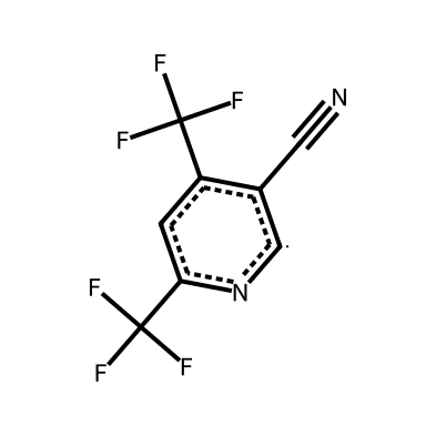 N#Cc1[c]nc(C(F)(F)F)cc1C(F)(F)F